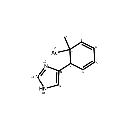 CC(=O)C1(C)C=CC=CC1c1c[nH]nn1